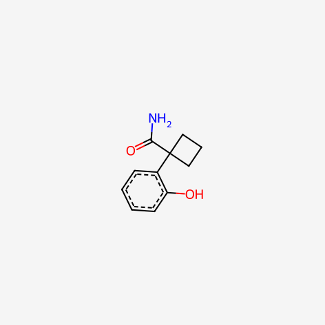 NC(=O)C1(c2ccccc2O)CCC1